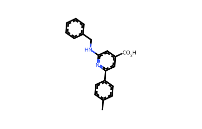 Cc1ccc(-c2cc(C(=O)O)cc(NCc3ccccc3)n2)cc1